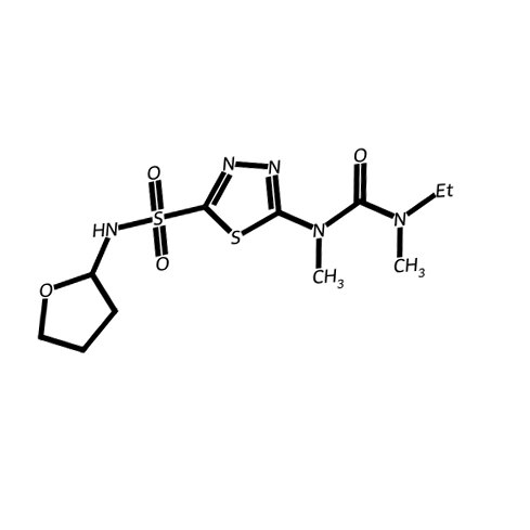 CCN(C)C(=O)N(C)c1nnc(S(=O)(=O)NC2CCCO2)s1